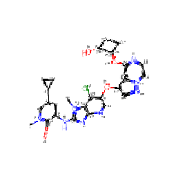 Cn1cc(C2CC2)cc(Nc2nc3ncc(Oc4cnn5ccnc(O[C@@H]6CC[C@H]6O)c45)c(Cl)c3n2C)c1=O